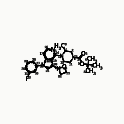 CC1CN(C(=O)OC(C)(C)C)CCN1c1nccc2c1c(N1CCO1)cn2-c1cccc(F)c1